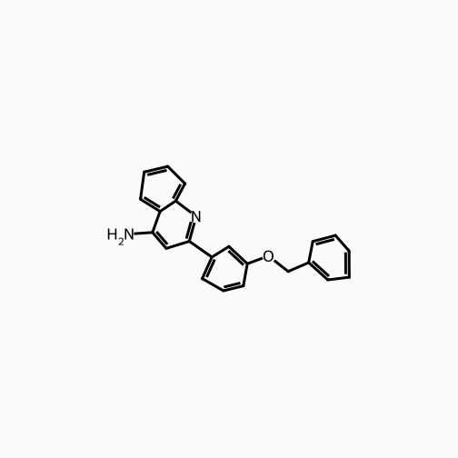 Nc1cc(-c2cccc(OCc3ccccc3)c2)nc2ccccc12